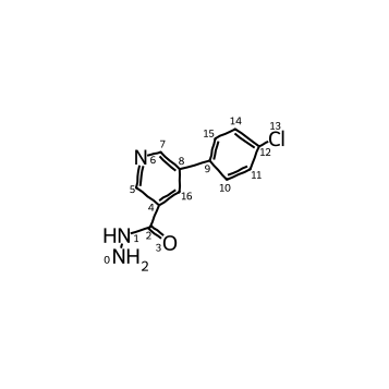 NNC(=O)c1cncc(-c2ccc(Cl)cc2)c1